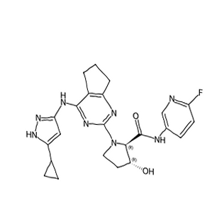 O=C(Nc1ccc(F)nc1)[C@H]1[C@H](O)CCN1c1nc2c(c(Nc3cc(C4CC4)[nH]n3)n1)CCC2